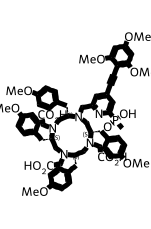 COc1ccc(C[C@H]2CN(CC(=O)O)[C@@H](Cc3ccc(OC)cc3)CN(Cc3cc(C#Cc4c(OC)cc(OC)cc4OC)cc(P(C)(=O)O)n3)[C@@H](Cc3ccc(OC)cc3)CN(CC(=O)O)[C@@H](Cc3ccc(OC)cc3)CN2CC(=O)O)cc1